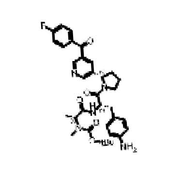 C[C@@H](C(=O)N[C@@H](Cc1ccc(N)cc1)C(=O)N1CCC[C@H]1c1cncc(C(=O)c2ccc(F)cc2)c1)N(C)C(=O)OC(C)(C)C